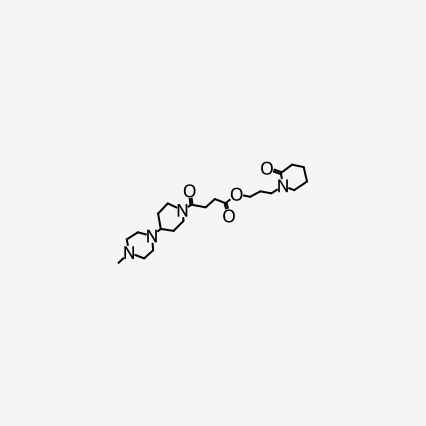 CN1CCN(C2CCN(C(=O)CCC(=O)OCCCN3CCCCC3=O)CC2)CC1